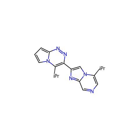 CC(C)c1cncc2nc(-c3nnc4cccn4c3C(C)C)cn12